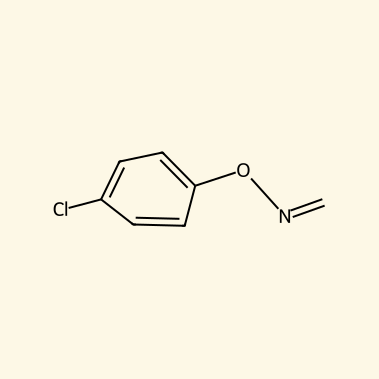 C=NOc1ccc(Cl)cc1